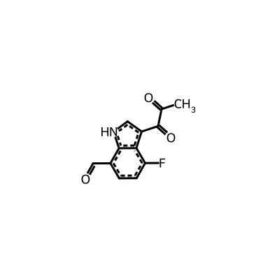 CC(=O)C(=O)c1c[nH]c2c(C=O)ccc(F)c12